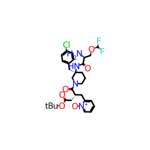 CC(C)(C)OC(=O)C[C@@H](Cc1cccc[n+]1[O-])C(=O)N1CCC[C@](Cc2ccc(Cl)cc2)(NC(=O)[C@@H](N)COC(F)F)C1